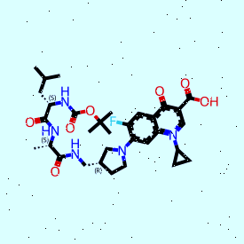 CC(C)C[C@H](NC(=O)OC(C)(C)C)C(=O)N[C@@H](C)C(=O)NC[C@H]1CCN(c2cc3c(cc2F)c(=O)c(C(=O)O)cn3C2CC2)C1